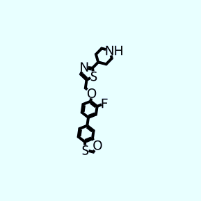 Fc1cc(-c2ccc3c(c2)OCS3)ccc1OCc1cnc(C2CCNCC2)s1